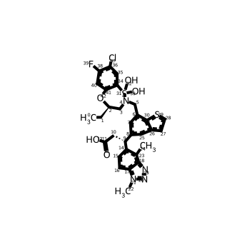 CC[C@@H]1CN(Cc2cc([C@@H](CC(=O)O)c3ccc4c(nnn4C)c3C)cc3ccsc23)S(O)(O)c2cc(Cl)c(F)cc2O1